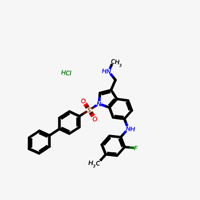 CNCc1cn(S(=O)(=O)c2ccc(-c3ccccc3)cc2)c2cc(Nc3ccc(C)cc3F)ccc12.Cl